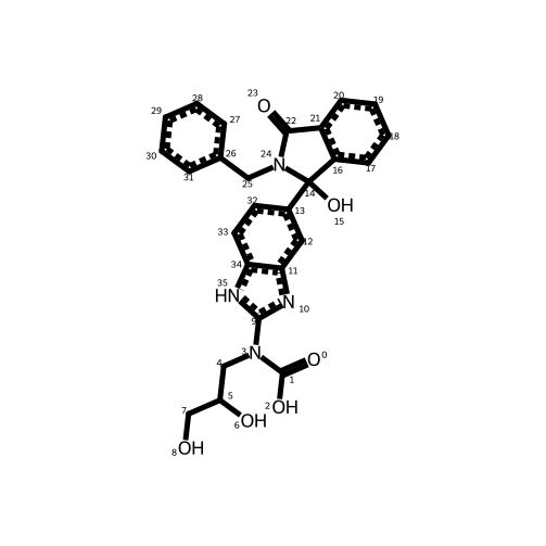 O=C(O)N(CC(O)CO)c1nc2cc(C3(O)c4ccccc4C(=O)N3Cc3ccccc3)ccc2[nH]1